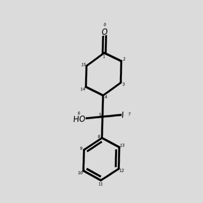 O=C1CCC(C(O)(I)c2ccccc2)CC1